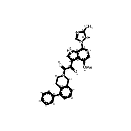 COc1cnc(N2C=NC(C)N2)c2[nH]cc(C(=O)C(=O)N3CCc4c(cccc4-c4ccccc4)C3)c12